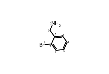 NCc1c[c]ccc1Br